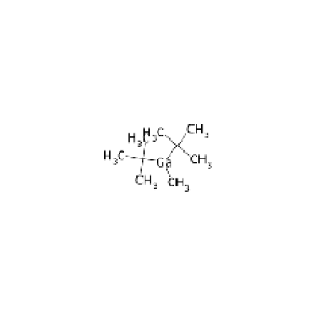 [CH3][Ga]([C](C)(C)C)[C](C)(C)C